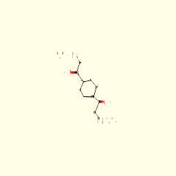 CNCC(=O)C1CCC(C(=O)CNC)CC1